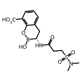 CN(C)S(=O)(=O)CCC(=O)N[C@H]1Cc2cccc(C(=O)O)c2OB1O